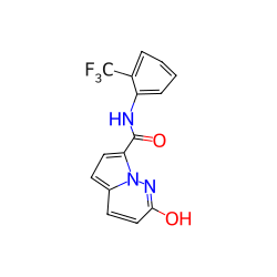 O=C(Nc1ccccc1C(F)(F)F)c1ccc2ccc(O)nn12